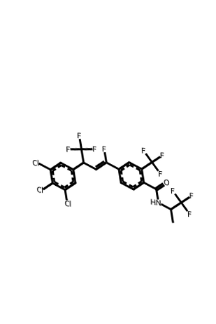 CC(NC(=O)c1ccc(/C(F)=C/C(c2cc(Cl)c(Cl)c(Cl)c2)C(F)(F)F)cc1C(F)(F)F)C(F)(F)F